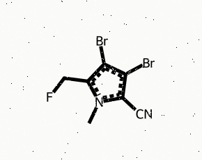 Cn1c(C#N)c(Br)c(Br)c1CF